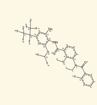 CCN(C(=O)c1ccccc1F)c1cccc(C(=O)Nc2c(O)cc(C(F)(C(F)(F)F)C(F)(F)F)cc2OC(F)F)c1OC